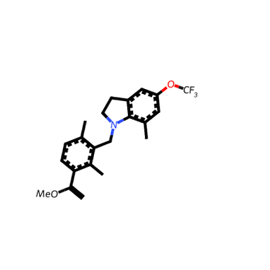 C=C(OC)c1ccc(C)c(CN2CCc3cc(OC(F)(F)F)cc(C)c32)c1C